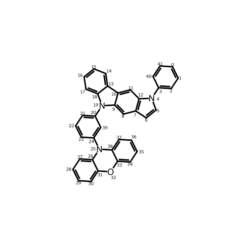 c1ccc(-n2ccc3cc4c(cc32)c2ccccc2n4-c2cccc(N3c4ccccc4Oc4ccccc43)c2)cc1